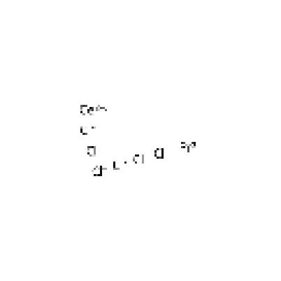 [Ce+3].[Cl-].[Cl-].[Cl-].[Cl-].[Cl-].[Cl-].[Pr+3]